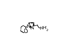 NCCc1ccn(C2CCCCO2)n1